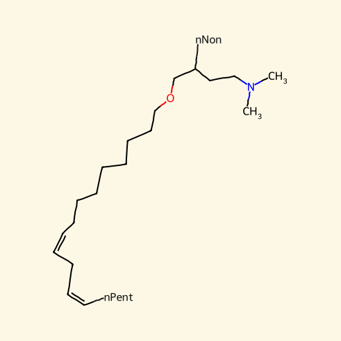 CCCCC/C=C\C/C=C\CCCCCCCCOCC(CCCCCCCCC)CCN(C)C